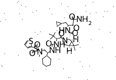 CN(C[C@@H](NC(=O)N[C@H](C(=O)N1C[C@H]2[C@@H]([C@H]1C(=O)NC(CC1CC1)C(=O)C(N)=O)C2(C)C)C(C)(C)C)C1CCCCC1)S(=O)(=O)c1cccs1